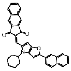 O=C1C(=Cc2cc3oc(-c4ccc5ccccc5c4)cc3n2C2CCCCC2)C(=O)c2cc3ccccc3cc21